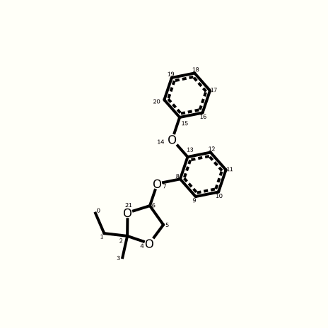 CCC1(C)OCC(Oc2ccccc2Oc2ccccc2)O1